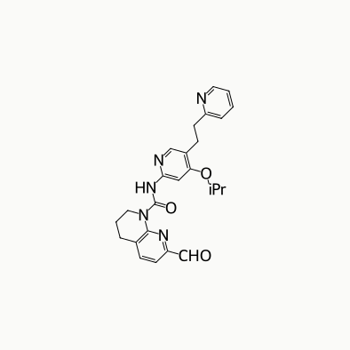 CC(C)Oc1cc(NC(=O)N2CCCc3ccc(C=O)nc32)ncc1CCc1ccccn1